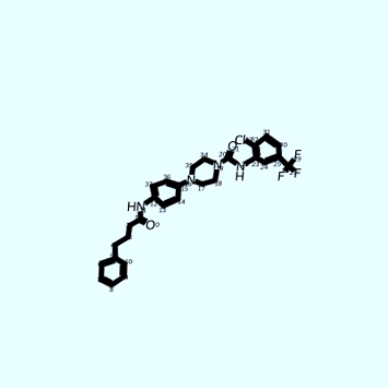 O=C(CCCc1ccccc1)Nc1ccc(N2CCN(C(=O)Nc3cc(C(F)(F)F)ccc3Cl)CC2)cc1